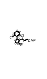 COC=CCc1c(-c2c(Cl)cccc2Cl)noc1C(C)C